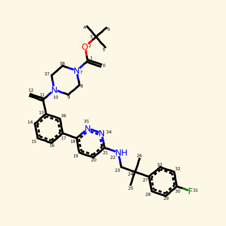 C=C(OC(C)(C)C)N1CCN(C(=C)c2cccc(-c3ccc(NCC(C)(C)c4ccc(F)cc4)nn3)c2)CC1